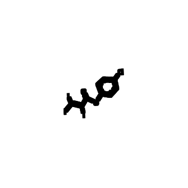 O=C(Oc1ccc(Cl)cc1)C(I)=C(I)I